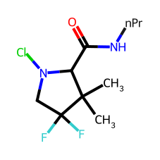 CCCNC(=O)C1N(Cl)CC(F)(F)C1(C)C